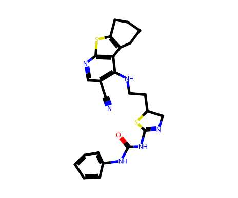 N#Cc1cnc2sc3c(c2c1NCCC1CN=C(NC(=O)Nc2ccccc2)S1)CCCC3